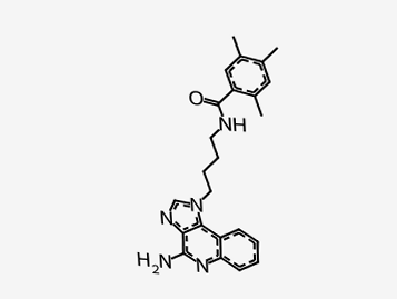 Cc1cc(C)c(C(=O)NCCCCn2cnc3c(N)nc4ccccc4c32)cc1C